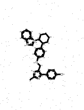 Cc1nc(-c2ccc(Cl)cc2)c(COc2ccc(C3CCCCC3n3cnc4ccccc43)cc2)s1